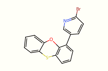 Brc1ccc(-c2cccc3c2Oc2ccccc2S3)cn1